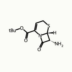 CC(C)(C)OC(=O)C1=CCS[C@@H]2[C@H](N)C(=O)N12